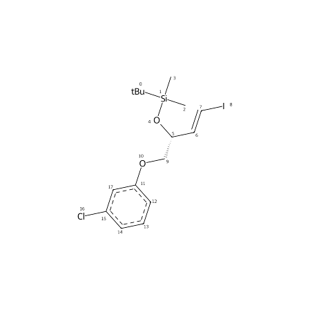 CC(C)(C)[Si](C)(C)O[C@H](C=CI)COc1cccc(Cl)c1